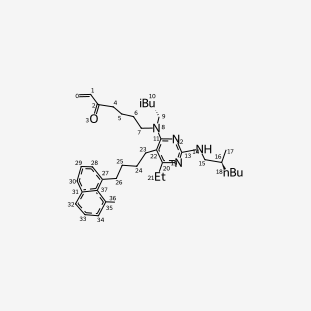 C=CC(=O)CCCCN(C[C@@H](C)CC)c1nc(NC[C@@H](C)CCCC)nc(CC)c1CCCCc1cccc2cccc(C)c12